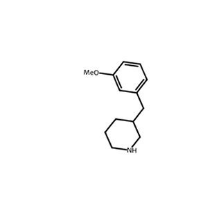 COc1cccc(CC2CCCNC2)c1